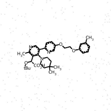 Cc1cccc(OCCOc2ccc(-c3cnc(C)c([C@H](OC(C)(C)C)C(=O)O)c3N3CCC(C)(C)CC3)nc2)c1